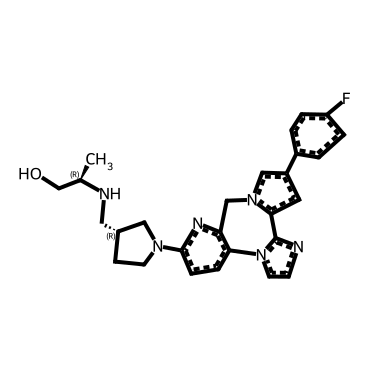 C[C@H](CO)NC[C@H]1CCN(c2ccc3c(n2)Cn2cc(-c4ccc(F)cc4)cc2-c2nccn2-3)C1